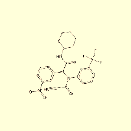 C#CC(=O)N(c1cccc(C(F)(F)F)c1)C(C(=O)NC1CCCCC1)c1cccc([N+](=O)[O-])c1